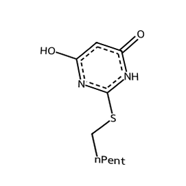 CCCCCCSc1nc(O)cc(=O)[nH]1